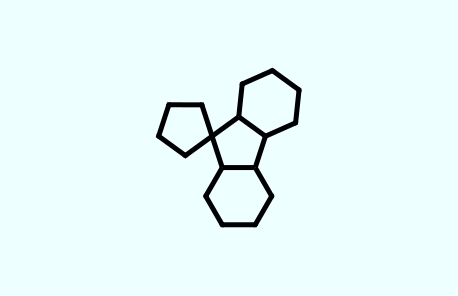 C1CCC2C(C1)C1CCCCC1C21CCCC1